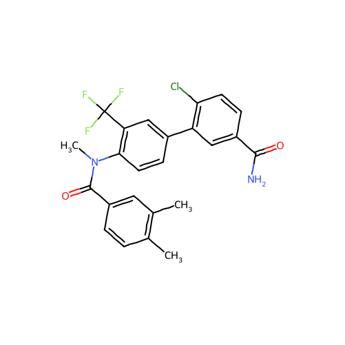 Cc1ccc(C(=O)N(C)c2ccc(-c3cc(C(N)=O)ccc3Cl)cc2C(F)(F)F)cc1C